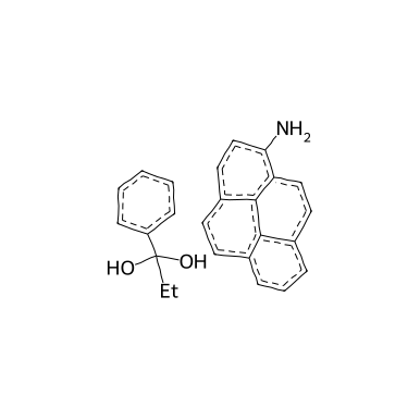 CCC(O)(O)c1ccccc1.Nc1ccc2ccc3cccc4ccc1c2c34